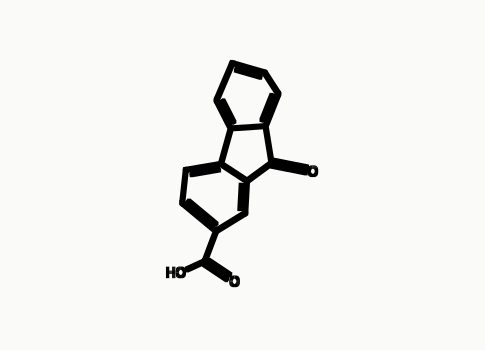 O=C(O)c1ccc2c(c1)C(=O)c1ccccc1-2